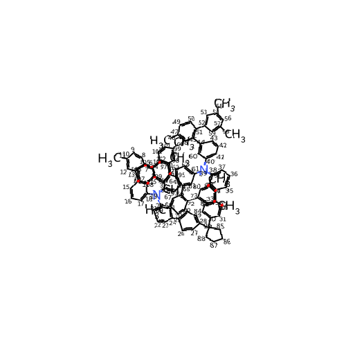 Cc1cc(C)cc(-c2ccc(C)cc2-c2cccc(N(c3cccc(-c4ccc(C5(c6ccc(-c7cccc(N(c8cccc(-c9cc(C)ccc9-c9cc(C)cc(C)c9)c8)c8cccc(-c9cc(C)ccc9-c9cc(C)cc(C)c9)c8)c7)cc6)CCCC5)cc4)c3)c3cccc(-c4cc(C)ccc4-c4ccccc4)c3)c2)c1